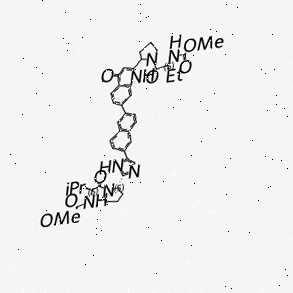 CC[C@H](NC(=O)OC)C(=O)N1CCCC1c1cc(=O)c2ccc(-c3ccc4cc(-c5cnc([C@@H]6CCCN6C(=O)[C@@H](NC(=O)OC)C(C)C)[nH]5)ccc4c3)cc2[nH]1